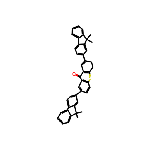 CC1(C)c2ccccc2-c2ccc(C3=Cc4c(sc5ccc(-c6ccc7c(c6)C(C)(C)c6ccccc6-7)cc5c4=O)CC3)cc21